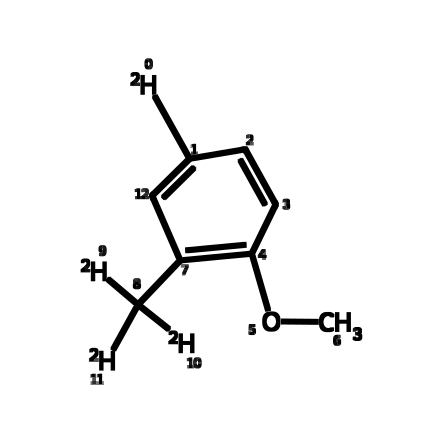 [2H]c1ccc(OC)c(C([2H])([2H])[2H])c1